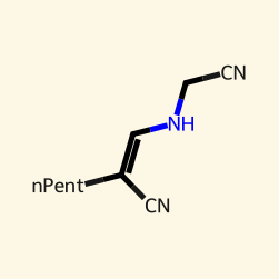 CCCCCC(C#N)=CNCC#N